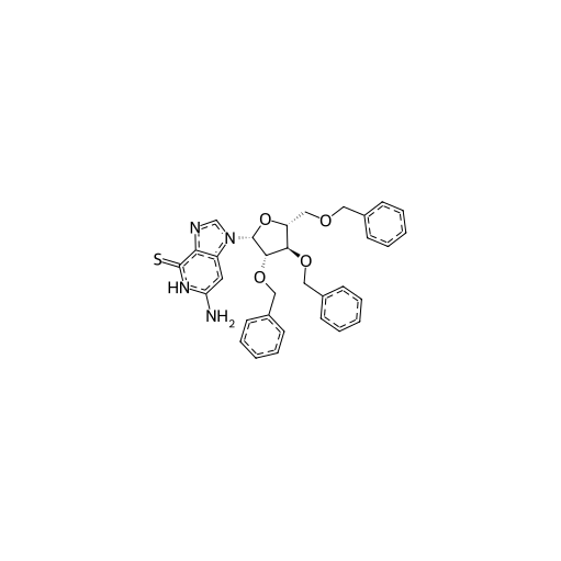 Nc1cc2c(ncn2[C@@H]2O[C@H](COCc3ccccc3)[C@@H](OCc3ccccc3)[C@@H]2OCc2ccccc2)c(=S)[nH]1